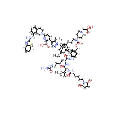 Cc1c(-c2ccc(N3CCc4cccc(CNc5nc6ccccc6s5)c4C3)nc2C(=O)O)cnn1CC12CC3(C)CC(C)(CC(CCCN(C(=O)OCc4ccc(NC(=O)[C@H](CCCCNC(N)=O)NC(=O)[C@@H](NC(=O)CCCCCN5C(=O)C=CC5=O)C(C)C)cc4)C4CCN(CC(=O)O)CC4)(C3)C1)C2